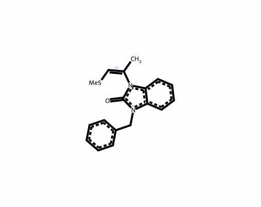 CS/C=C(/C)n1c(=O)n(Cc2ccccc2)c2ccccc21